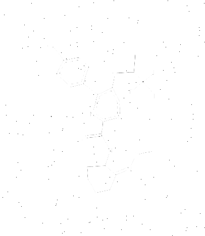 CO/N=C1/CCCCC1NC(=O)c1ncc(OC(C)C(F)(F)F)c(-c2ccc(Cl)cc2)n1